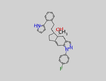 C[C@]12Cc3cnn(-c4ccc(F)cc4)c3C=C1CC[C@@]2(O)CCc1ccccc1-c1ccc[nH]1